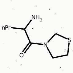 CCCC(N)C(=O)N1CCSC1